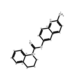 Cc1ccc2cc(OC(=O)N3CCCc4ccccc43)ccc2n1